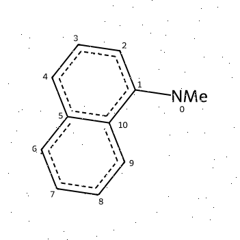 CNc1cccc2[c]cccc12